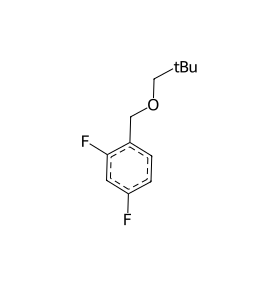 CC(C)(C)COCc1ccc(F)cc1F